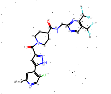 COc1cc(-c2cc(C(=O)N3CCC(C(=O)NCc4ncc(C(F)F)c(C(F)F)n4)CC3)n[nH]2)c(Cl)cn1